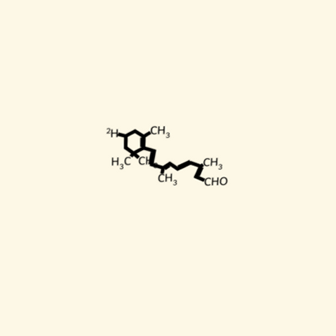 [2H]C1CC(C)=C(C=CC(C)=CC=CC(C)=CC=O)C(C)(C)C1